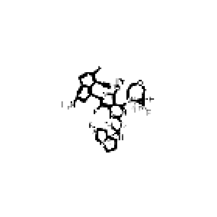 [2H]C([2H])(Oc1nc(N2CCOC[C@H]3[C@H](F)[C@H]32)c2c(OC(C)C)nc(-c3cc(N)cc4ccc(F)c(C#C)c34)c(F)c2n1)[C@@]12CCCN1C[C@H](F)C2